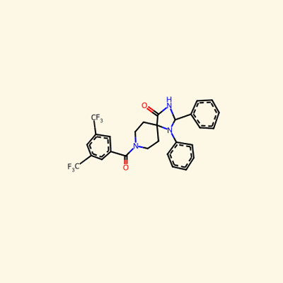 O=C(c1cc(C(F)(F)F)cc(C(F)(F)F)c1)N1CCC2(CC1)C(=O)NC(c1ccccc1)N2c1ccccc1